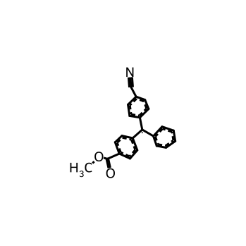 COC(=O)c1ccc([C](c2ccccc2)c2ccc(C#N)cc2)cc1